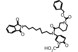 O=C(O)Cn1cc(N(CCCCCCCCN2C(=O)c3ccccc3C2=O)C(=O)C2CCCN(C(=O)OCc3ccccc3)C2)ccc1=O